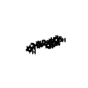 C=C(Nc1ccccc1)c1cnn(CC(=O)[C@H]2CC[C@H]3[C@@H]4CC[C@@H]5C[C@](C)(O)CC[C@]5(C)[C@H]4CC[C@]23C)n1